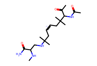 CNC(CNC(C)(C)C/C=C\CC(C)(C)C(NC(C)=O)C(C)=O)C(N)=O